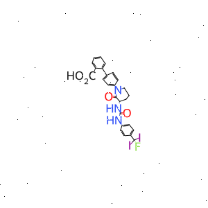 O=C(Nc1ccc(C(F)(I)I)cc1)N[C@H]1CCCN(c2ccc(-c3ccccc3C(=O)O)cc2)C1=O